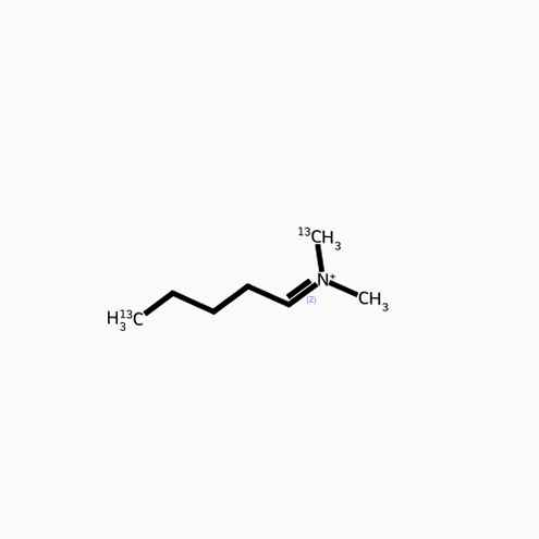 C/[N+]([13CH3])=C/CCC[13CH3]